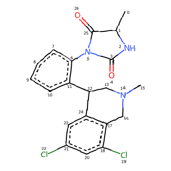 CC1NC(=O)N(c2ccccc2C2CN(C)Cc3c(Cl)cc(Cl)cc32)C1=O